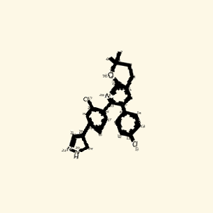 CC1(C)CCc2cc(-c3ccc(Cl)cc3)c(-c3ccc(C4C=NNC4)cc3Cl)nc2O1